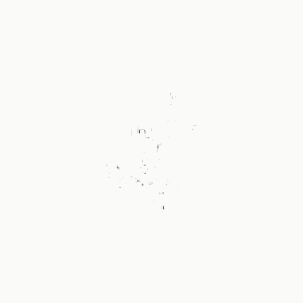 C[C@@H]1CC2C3C[C@@H](F)C4=CC(=O)C=C[C@]4(C)[C@]3(F)[C@@H](O)C[C@]2(C)C1(OC(=O)c1ccco1)C(=O)SCF